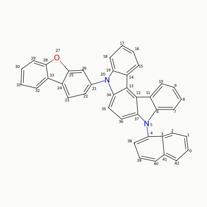 c1ccc2c(-n3c4ccccc4c4c5c6ccccc6n(-c6ccc7c(c6)oc6ccccc67)c5ccc43)cccc2c1